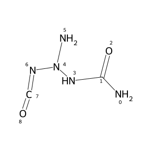 NC(=O)NN(N)N=C=O